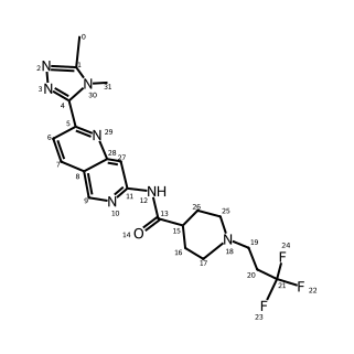 Cc1nnc(-c2ccc3cnc(NC(=O)C4CCN(CCC(F)(F)F)CC4)cc3n2)n1C